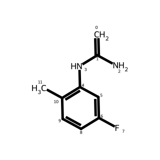 C=C(N)Nc1cc(F)ccc1C